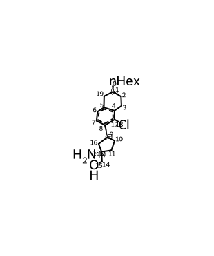 CCCCCC[C@H]1CCc2c(ccc([C@H]3CC[C@@](N)(CO)C3)c2Cl)C1